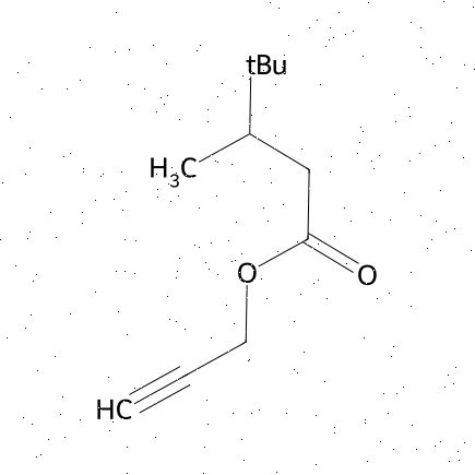 C#CCOC(=O)CC(C)C(C)(C)C